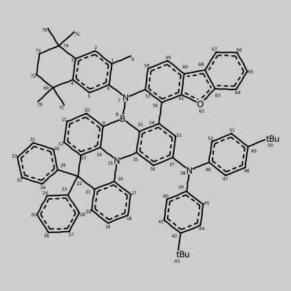 Cc1cc2c(cc1N1B3c4cccc5c4N(c4ccccc4C5(c4ccccc4)c4ccccc4)c4cc(N(c5ccc(C(C)(C)C)cc5)c5ccc(C(C)(C)C)cc5)cc(c43)-c3c1ccc1c3oc3ccccc31)C(C)(C)CCC2(C)C